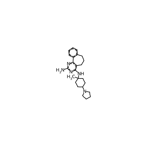 CC1(Nc2nc(N)nc3c2CCCc2ccccc2-3)CCC(N2CCCC2)CC1